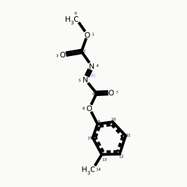 COC(=O)/N=N/C(=O)Oc1cccc(C)c1